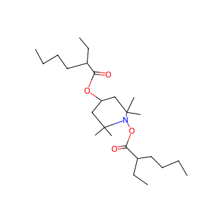 CCCCC(CC)C(=O)OC1CC(C)(C)N(OC(=O)C(CC)CCCC)C(C)(C)C1